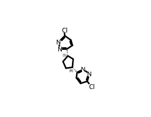 Clc1ccc([C@@H]2CC[C@H](c3ccc(Cl)nn3)C2)nn1